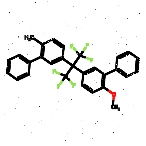 COc1ccc(C(c2ccc(C)c(-c3ccccc3)c2)(C(F)(F)F)C(F)(F)F)cc1-c1ccccc1